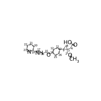 COCC1(CC(=O)O)CC1c1ccc(OCCCNc2ccccn2)cc1